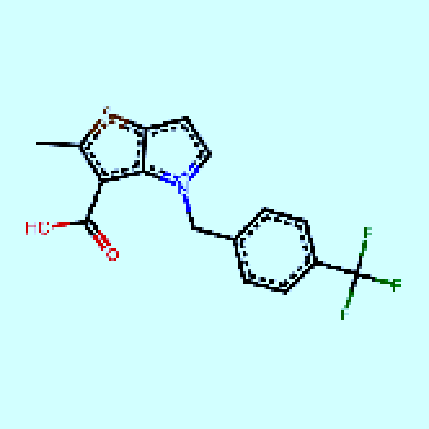 Cc1sc2ccn(Cc3ccc(C(F)(F)F)cc3)c2c1C(=O)O